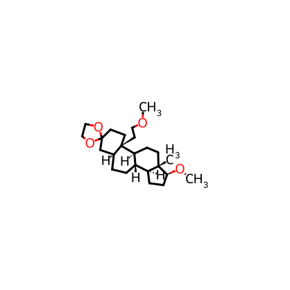 COCC[C@]12CCC3(C[C@@H]1CC[C@H]1[C@@H]4CC[C@H](OC)[C@@]4(C)CC[C@@H]12)OCCO3